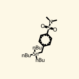 CCC[CH2][Sn]([CH2]CCC)([CH2]CCC)[CH2]c1ccc(S(=O)(=O)N(C)C)cc1